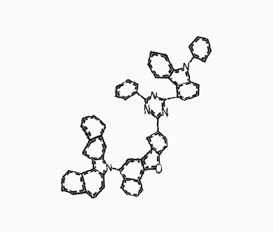 c1ccc(-c2nc(-c3ccc4oc5c6ccccc6c(-n6c7cc8ccccc8cc7c7c8ccccc8ccc76)cc5c4c3)nc(-c3cccc4c3c3ccccc3n4-c3ccccc3)n2)cc1